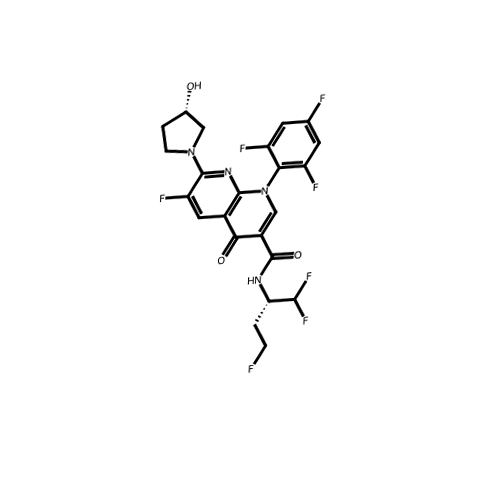 O=C(N[C@@H](CCF)C(F)F)c1cn(-c2c(F)cc(F)cc2F)c2nc(N3CC[C@H](O)C3)c(F)cc2c1=O